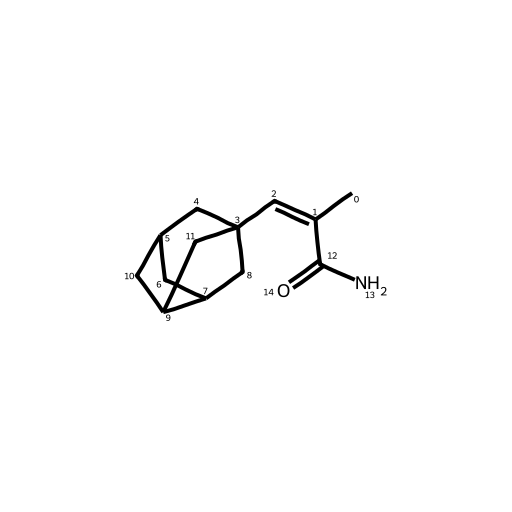 CC(=CC12CC3CC(C1)C(C3)C2)C(N)=O